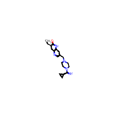 CCc1cc2ncc(CN3CCN(C(=N)C4CC4)CC3)cc2[nH]c1=O